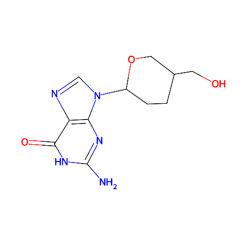 Nc1nc2c(ncn2C2CCC(CO)CO2)c(=O)[nH]1